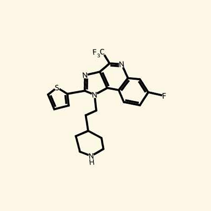 Fc1ccc2c(c1)nc(C(F)(F)F)c1nc(-c3cccs3)n(CCC3CCNCC3)c12